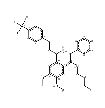 CCCCNC(=O)[C@H](NC(CCc1ccc(C(F)(F)F)cc1)c1ccc(OC)c(OC)c1)c1ccccc1